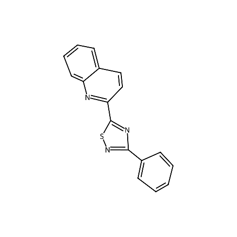 c1ccc(-c2nsc(-c3ccc4ccccc4n3)n2)cc1